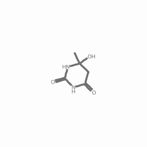 CC1(O)CC(=O)NC(=O)N1